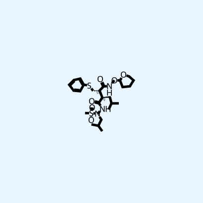 CC(C)C[C@@H](C(=O)NN(CC(C)C)S(C)(=O)=O)[C@H](CSc1ccccc1)C(=O)NOC1CCCCO1